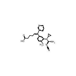 Cc1ccc(/C(=C\CCCC(=O)O)c2cccnc2)cc1N(C(N)=NC#N)C1CC1